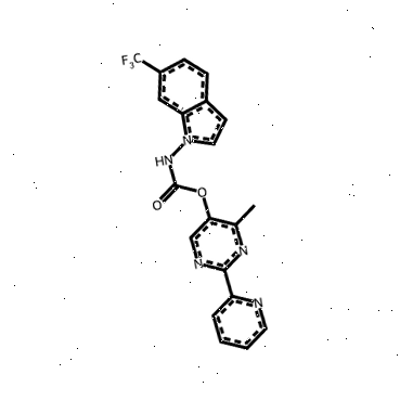 Cc1nc(-c2ccccn2)ncc1OC(=O)Nn1ccc2ccc(C(F)(F)F)cc21